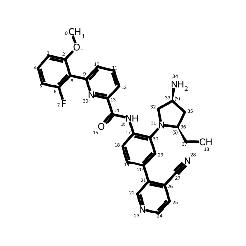 COc1cccc(F)c1-c1cccc(C(=O)Nc2ccc(-c3cnccc3C#N)cc2N2C[C@@H](N)C[C@H]2CO)n1